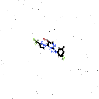 Cc1cc(F)cc(Nc2ncc(Br)c(-n3ccc(C(F)(F)F)n3)n2)c1